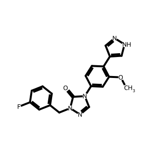 COc1cc(-n2cnn(Cc3cccc(F)c3)c2=O)ccc1-c1cn[nH]c1